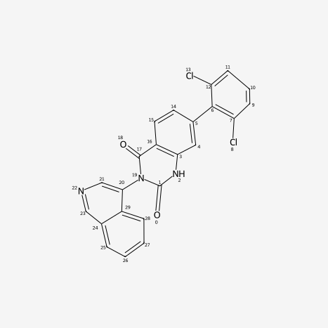 O=c1[nH]c2cc(-c3c(Cl)cccc3Cl)ccc2c(=O)n1-c1cncc2ccccc12